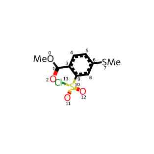 COC(=O)c1ccc(SC)cc1S(=O)(=O)Cl